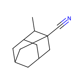 CC1C2CC3CC(C2)CC1(C#N)C3